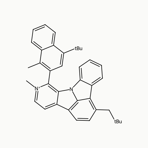 Cc1c(-c2c3c(cc[n+]2C)c2ccc(CC(C)(C)C)c4c5ccccc5n3c24)cc(C(C)(C)C)c2ccccc12